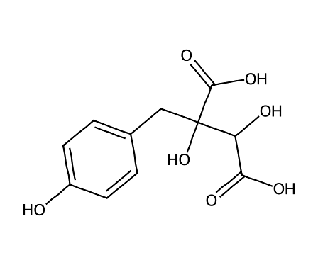 O=C(O)C(O)C(O)(Cc1ccc(O)cc1)C(=O)O